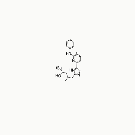 CC(Cc1ncc(-c2ccnc(Nc3ccccc3)n2)[nH]1)CC(O)C(C)(C)C